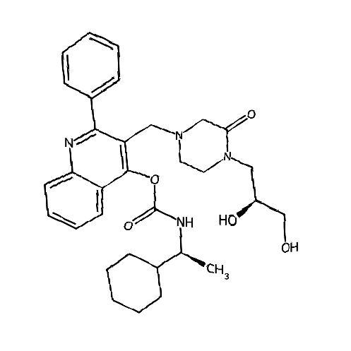 C[C@H](NC(=O)Oc1c(CN2CCN(C[C@H](O)CO)C(=O)C2)c(-c2ccccc2)nc2ccccc12)C1CCCCC1